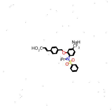 CC(C)N(c1ccc(C(F)(F)F)cc1OCc1ccc(C=CC(=O)O)cc1)S(=O)(=O)c1ccccc1.[NaH]